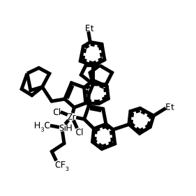 CCc1ccc(-c2cccc3c2C=C(CC24CCC(CC2)C4)[CH]3[Zr]([Cl])([Cl])([CH]2C(CC34CCC(CC3)C4)=Cc3c(-c4ccc(CC)cc4)cccc32)[SiH](C)CCC(F)(F)F)cc1